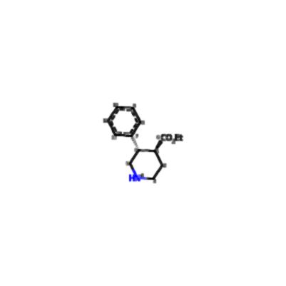 CCOC(=O)[C@H]1CCNC[C@@H]1c1ccccc1